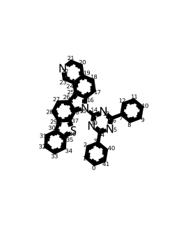 c1ccc(-c2nc(-c3ccccc3)nc(-n3c4ccc5ccncc5c4c4ccc5c6ccccc6sc5c43)n2)cc1